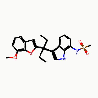 CCC(CC)(c1cc2cccc(OC)c2o1)c1c[nH]c2c(NS(C)(=O)=O)cccc12